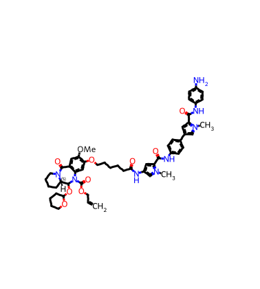 C=CCOC(=O)N1c2cc(OCCCCCC(=O)Nc3cc(C(=O)Nc4ccc(-c5cc(C(=O)Nc6ccc(N)cc6)n(C)c5)cc4)n(C)c3)c(OC)cc2C(=O)N2CCCC[C@H]2C1OC1CCCCO1